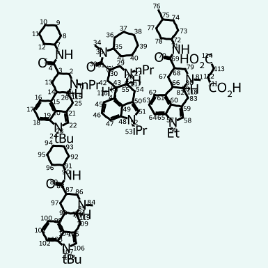 CCCN1CC(C(=O)NC2CCCCC2)CC2c3cccc4c3c(cn4C(C)(C)C)C[C@H]21.CCCN1C[C@H](C(=O)N(C)C2CCCCCC2)C[C@H]2c3cccc4c3c(cn4C(C)C)C[C@H]21.CCn1cc2c3c(cccc31)C1CC(C(=O)NC3CCC(C)CC3)CN(C)[C@@H]1C2.CN1CC(C(=O)NC2CCCCC2)CC2c3cccc4c3c(cn4C(C)(C)C)C[C@H]21.O=C(O)CCC(=O)O